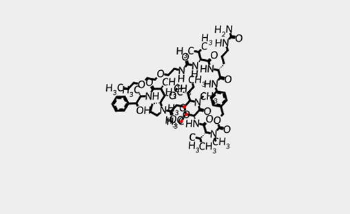 CCCOCCOCCNC(=O)N[C@@H](C(=O)N[C@H](CCCNC(N)=O)C(=O)Nc1ccc(COC(=O)N(C)[C@@H](C(=O)N[C@@H](C(=O)N(C)C(C(CC(=O)N2CCC[C@@H]2[C@@H](OC)[C@H](C)C(=O)N[C@@H](C)C(O)c2ccccc2)OC)[C@H](C)CC)C(C)C)C(C)C)cc1)C(C)C